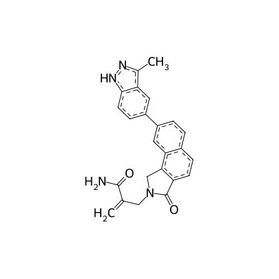 C=C(CN1Cc2c(ccc3ccc(-c4ccc5[nH]nc(C)c5c4)cc23)C1=O)C(N)=O